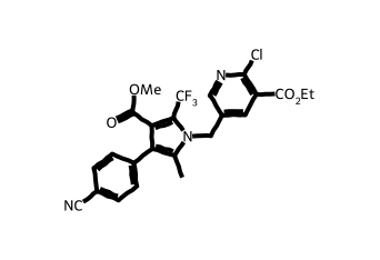 CCOC(=O)c1cc(Cn2c(C)c(-c3ccc(C#N)cc3)c(C(=O)OC)c2C(F)(F)F)cnc1Cl